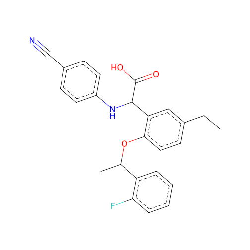 CCc1ccc(OC(C)c2ccccc2F)c(C(Nc2ccc(C#N)cc2)C(=O)O)c1